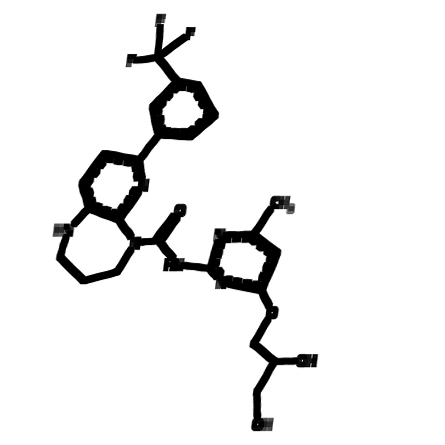 Cc1cc(OCC(O)CO)nc(NC(=O)N2CCCNc3ccc(-c4cccc(C(F)(F)F)c4)nc32)n1